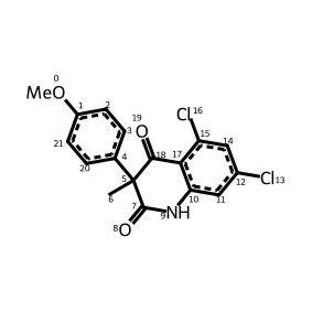 COc1ccc(C2(C)C(=O)Nc3cc(Cl)cc(Cl)c3C2=O)cc1